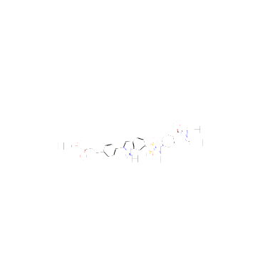 CCN(C)C(=O)C1CCC(NS(=O)(=O)c2ccc3cc(-c4ccc(CCC(=O)OC)cc4)n(C)c3c2)CC1